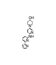 OC1CCN(c2ccc(Nc3cccc(-c4nccs4)n3)nc2)CC1